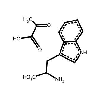 CC(=O)C(=O)O.NC(Cc1c[nH]c2ccccc12)C(=O)O